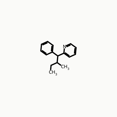 CCC(C)C(c1ccccc1)c1ccccn1